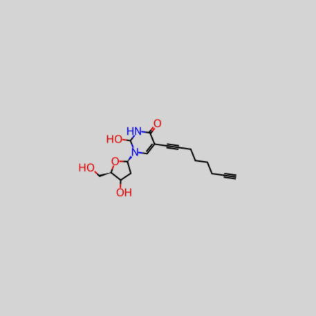 C#CCCCCC#CC1=CN([C@H]2CC(O)[C@@H](CO)O2)C(O)NC1=O